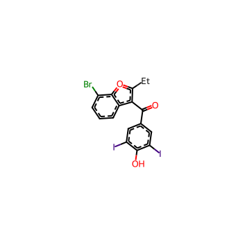 CCc1oc2c(Br)cccc2c1C(=O)c1cc(I)c(O)c(I)c1